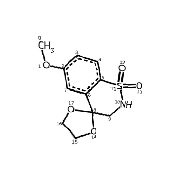 COc1ccc2c(c1)C1(CNS2(=O)=O)OCCO1